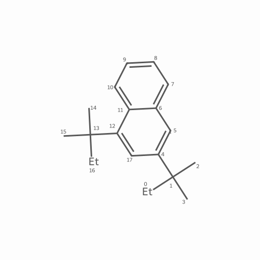 CCC(C)(C)c1[c]c2ccccc2c(C(C)(C)CC)c1